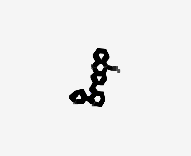 CN1c2ccccc2Sc2cc(/C=C3\CCCN=C3c3cccnc3)ccc21